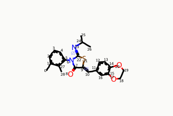 Cc1cccc(N2C(=O)/C(=C/c3ccc4c(c3)OCCO4)S/C2=N\C(C)C)c1C